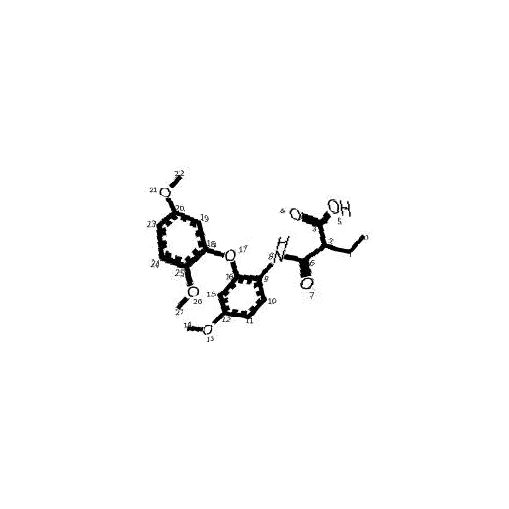 CCC(C(=O)O)C(=O)Nc1ccc(OC)cc1Oc1cc(OC)ccc1OC